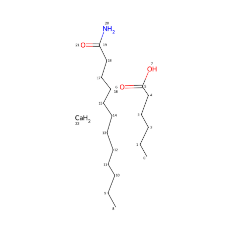 CCCCCC(=O)O.CCCCCCCCCCCC(N)=O.[CaH2]